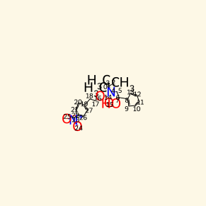 CC(C)(C)N(CC(O)c1ccccc1)C(=O)OCCc1ccc([N+](=O)[O-])cc1